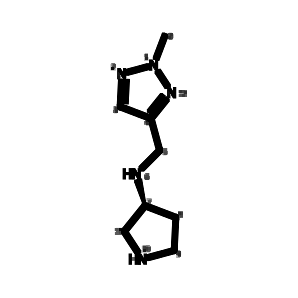 Cn1ncc(CN[C@H]2CCNC2)n1